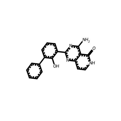 Nc1nc(-c2cccc(-c3ccccc3)c2O)nc2cc[nH]c(=O)c12